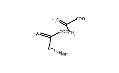 C=C(C)C(=O)[O-].C=C(C)C(=O)[O-].[Na+].[Na+]